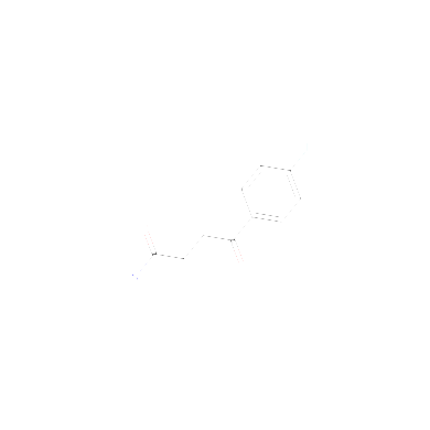 NC(=O)CCC(=O)c1ccc(F)cc1